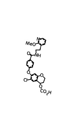 COc1ncccc1CCNC(=O)c1ccc(Oc2cc3c(cc2Cl)C(OC(=O)O)CCO3)cc1